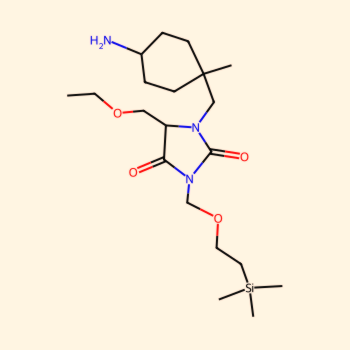 CCOCC1C(=O)N(COCC[Si](C)(C)C)C(=O)N1CC1(C)CCC(N)CC1